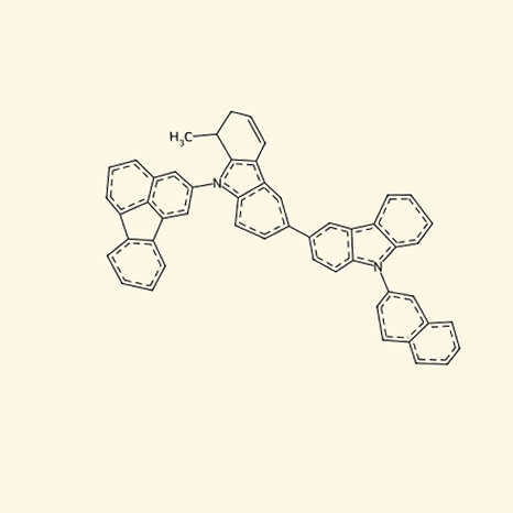 CC1CC=Cc2c1n(-c1cc3c4c(cccc4c1)-c1ccccc1-3)c1ccc(-c3ccc4c(c3)c3ccccc3n4-c3ccc4ccccc4c3)cc21